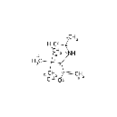 C=C(OCl)C(NC(C)C)C(C)(C)C